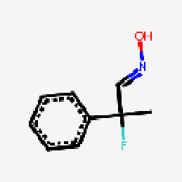 CC(F)(C=NO)c1ccccc1